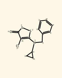 O=c1ssc(N(Cc2ccccc2)C2CC2)c1Cl